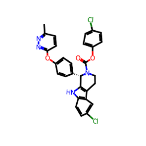 Cc1ccc(Oc2ccc([C@H]3c4[nH]c5ccc(Cl)cc5c4CCN3C(=O)Oc3ccc(Cl)cc3)cc2)nn1